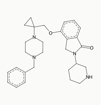 O=C1c2cccc(OCC3(N4CCN(Cc5ccccc5)CC4)CC3)c2CN1C1CCCNC1